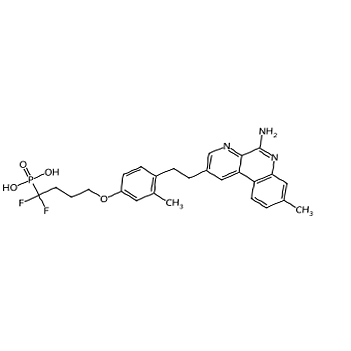 Cc1ccc2c(c1)nc(N)c1ncc(CCc3ccc(OCCCC(F)(F)P(=O)(O)O)cc3C)cc12